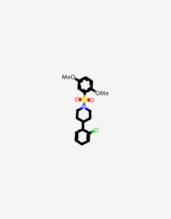 COc1ccc(OC)c(S(=O)(=O)N2CCC(C3C=CCC=C3Cl)CC2)c1